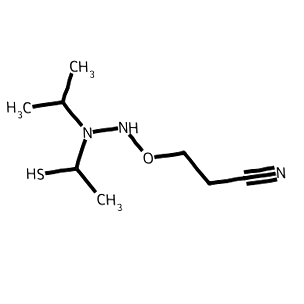 CC(C)N(NOCCC#N)C(C)S